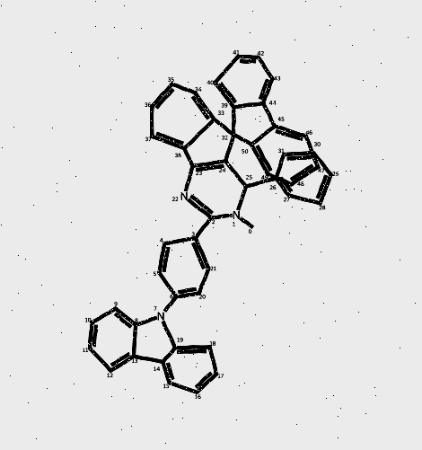 CN1C(c2ccc(-n3c4ccccc4c4ccccc43)cc2)=NC2=C(C1c1ccccc1)C1(c3ccccc32)c2ccccc2-c2ccccc21